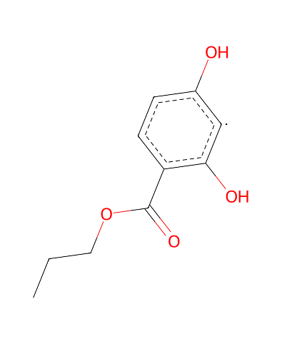 CCCOC(=O)c1ccc(O)[c]c1O